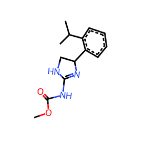 COC(=O)NC1=NC(c2ccccc2C(C)C)CN1